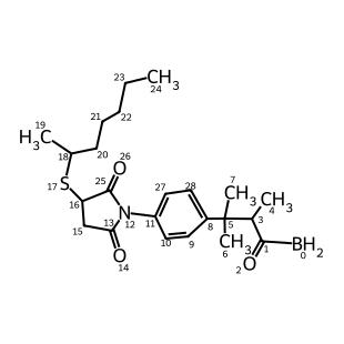 BC(=O)C(C)C(C)(C)c1ccc(N2C(=O)CC(SC(C)CCCCC)C2=O)cc1